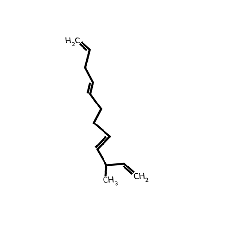 C=CCC=CCCC=CC(C)C=C